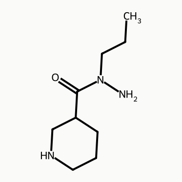 CCCN(N)C(=O)C1CCCNC1